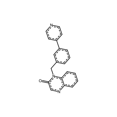 O=c1cnc2ccccc2n1Cc1cccc(-c2ccncc2)c1